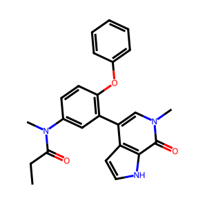 CCC(=O)N(C)c1ccc(Oc2ccccc2)c(-c2cn(C)c(=O)c3[nH]ccc23)c1